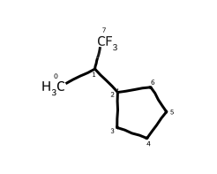 CC([C]1CCCC1)C(F)(F)F